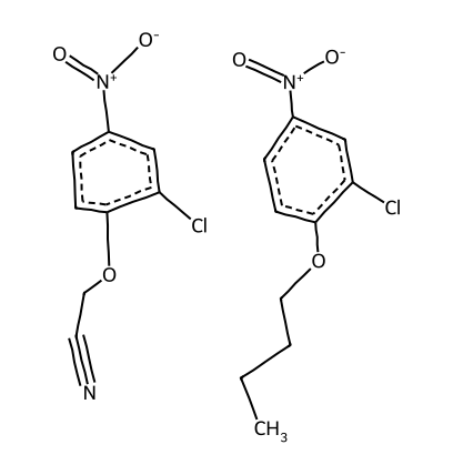 CCCCOc1ccc([N+](=O)[O-])cc1Cl.N#CCOc1ccc([N+](=O)[O-])cc1Cl